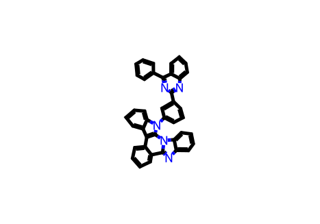 c1ccc(-c2nc(-c3cccc(-n4c5ccccc5c5c6ccccc6c6nc7ccccc7n6c54)c3)nc3ccccc23)cc1